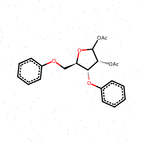 CC(=O)OC1O[C@H](COc2ccccc2)[C@@H](Oc2ccccc2)[C@H]1OC(C)=O